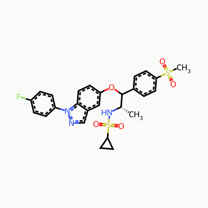 C[C@H](NS(=O)(=O)C1CC1)C(Oc1ccc2c(cnn2-c2ccc(F)cc2)c1)c1ccc(S(C)(=O)=O)cc1